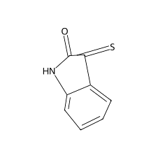 O=C1Nc2ccccc2C1=S